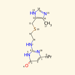 CCCc1cc(=O)[nH]c(NCCSCc2[nH]cnc2C)n1